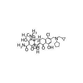 CN(C)[C@@H]1C(O)=C(C(N)=O)C(=O)[C@@]2(O)C(O)=C3C(=O)c4c(O)cc(CN(CC5CC5)C5CCCC5)c(Cl)c4C[C@H]3C[C@@H]12